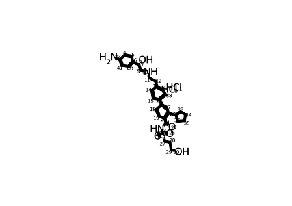 Cl.Cl.Nc1ccc([C@H](O)CNCCc2ccc(-c3ccc(C(=O)NS(=O)(=O)CCCO)c(C4CCCC4)c3)cc2)cc1